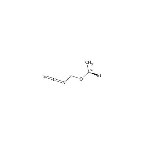 CC[C@H](C)OCN=C=S